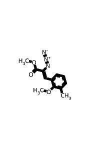 COC(=O)/C(=C/c1cccc(C)c1OC)N=[N+]=[N-]